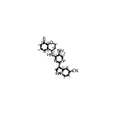 N#Cc1ccn2ncc(-c3ncc(N)c(NC4CCOc5c(F)cccc54)n3)c2c1